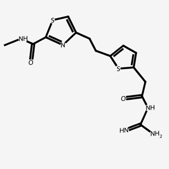 CNC(=O)c1nc(CCc2ccc(CC(=O)NC(=N)N)s2)cs1